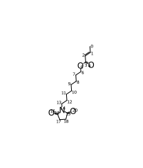 CC=CC(=O)OCCCCCCCCN1C(=O)CCC1=O